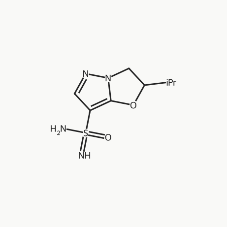 CC(C)C1Cn2ncc(S(=N)(N)=O)c2O1